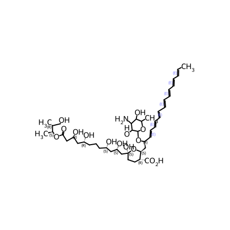 C/C=C/C=C/C=C/C=C/C=C/C=C/C=C/[C@@H](C[C@@H]1O[C@](O)(C[C@@H](O)C[C@@H](O)CCC[C@@H](O)C[C@@H](O)CC(=O)O[C@@H](C)[C@H](C)CO)CC[C@H]1C(=O)O)OC1OC(C)C(O)C(N)C1O